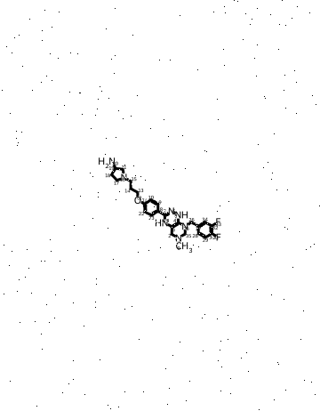 CN1CC2=C(NN=C(c3ccc(OCCCN4CCC(N)C4)cc3)N2)N(Cc2ccc(F)c(F)c2)C1